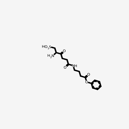 NC(CS(=O)(=O)O)C(=O)CCC(=O)NCCCC(=O)Oc1ccccc1